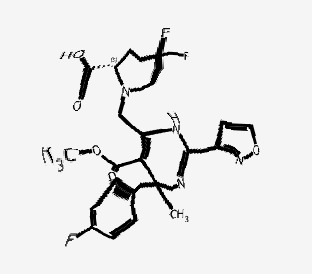 COC(=O)C1=C(CN2CC(F)(F)C[C@H]2C(=O)O)NC(c2ccon2)=NC1(C)c1ccc(F)cc1